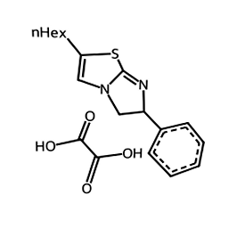 CCCCCCC1=CN2CC(c3ccccc3)N=C2S1.O=C(O)C(=O)O